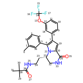 Cc1cccc(-c2c(-c3cccc(OC(F)(F)F)c3)cc3n2[C@@H](CCNC(=O)C(C)(C)C)CNC3=O)c1